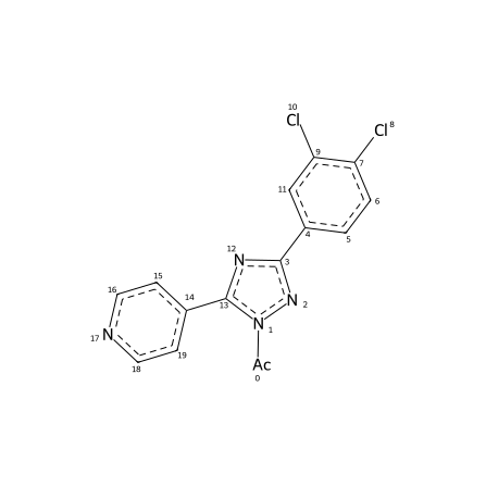 CC(=O)n1nc(-c2ccc(Cl)c(Cl)c2)nc1-c1ccncc1